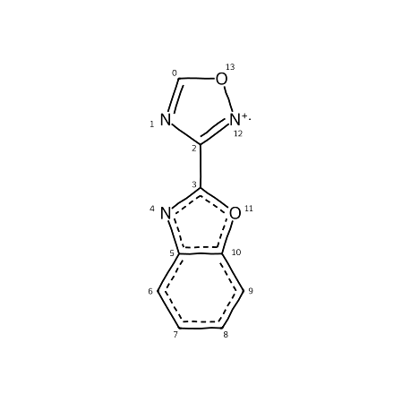 C1=NC(c2nc3ccccc3o2)=[N+]O1